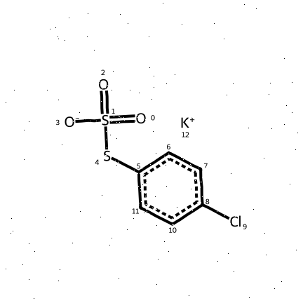 O=S(=O)([O-])Sc1ccc(Cl)cc1.[K+]